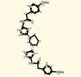 COc1ccc(CC(=O)Nc2nnc([C@H]3CCC[C@H](c4nnc(NC(=O)Cc5ccc(OC)cn5)s4)C3)s2)nc1